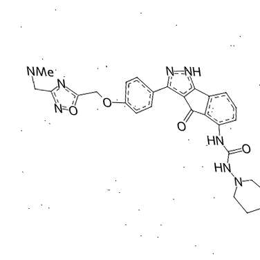 CNCc1noc(COc2ccc(-c3n[nH]c4c3C(=O)c3c(NC(=O)NN5CCOCC5)cccc3-4)cc2)n1